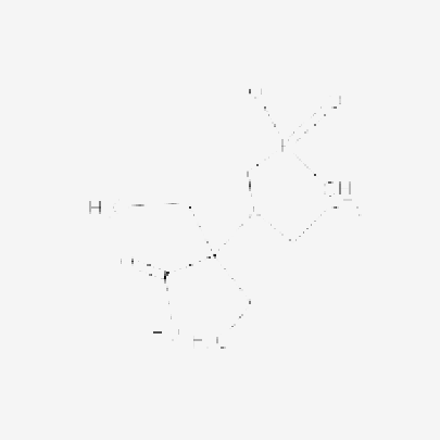 CCC(CP(=O)(O)O)C(CC)(CC)C(=O)O